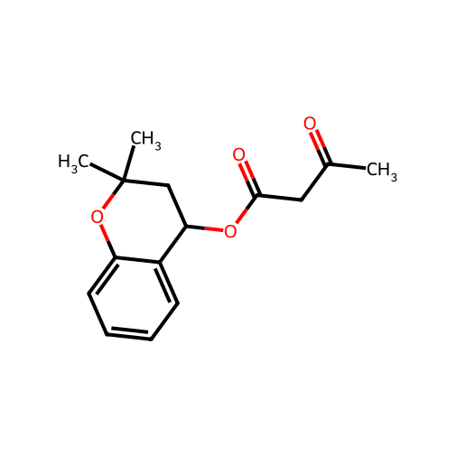 CC(=O)CC(=O)OC1CC(C)(C)Oc2ccccc21